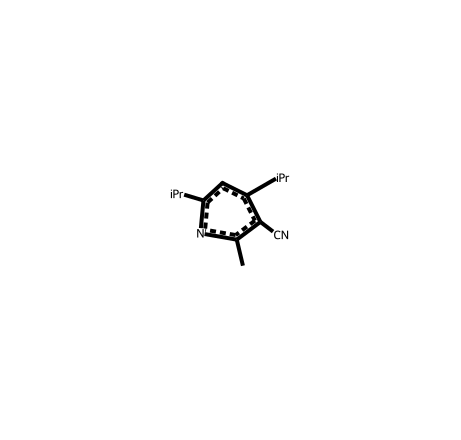 Cc1nc(C(C)C)cc(C(C)C)c1C#N